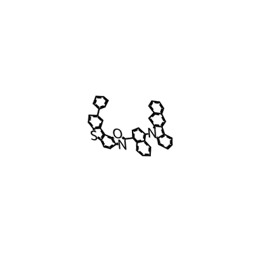 c1ccc(-c2ccc3sc4ccc5nc(-c6ccc(-n7c8ccccc8c8cc9ccccc9cc87)c7ccccc67)oc5c4c3c2)cc1